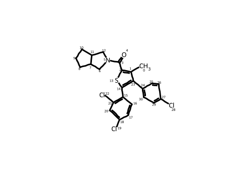 Cc1c(C(=O)N2CC3CCCC3C2)sc(-c2ccc(Cl)cc2Cl)c1-c1ccc(Cl)cc1